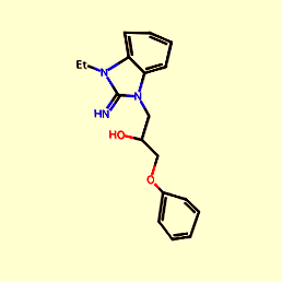 CCn1c(=N)n(CC(O)COc2ccccc2)c2ccccc21